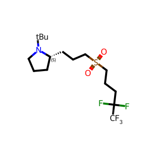 CC(C)(C)N1CCC[C@H]1CCCS(=O)(=O)CCCC(F)(F)C(F)(F)F